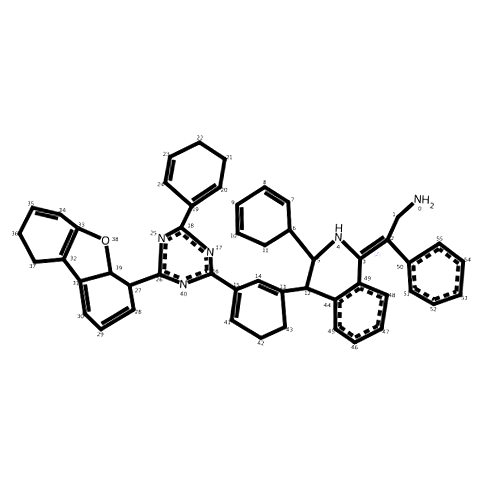 NC/C(=C1\NC(C2C=CC=CC2)C(C2=CC(c3nc(C4=CCCC=C4)nc(C4C=CC=C5C6=C(C=CCC6)OC54)n3)=CCC2)c2ccccc21)c1ccccc1